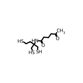 CC(=O)CCCC(=O)NC(CS)(CS)CCS